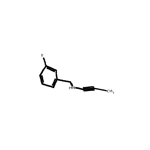 CC#CNCc1cccc(F)c1